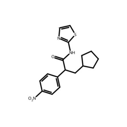 O=C(Nc1n[c]cs1)C(CC1CCCC1)c1ccc([N+](=O)[O-])cc1